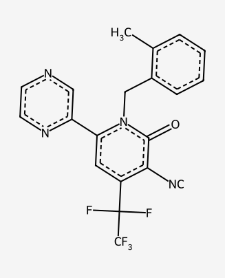 [C-]#[N+]c1c(C(F)(F)C(F)(F)F)cc(-c2cnccn2)n(Cc2ccccc2C)c1=O